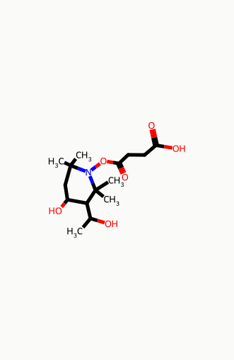 CC(O)C1C(O)CC(C)(C)N(OC(=O)CCC(=O)O)C1(C)C